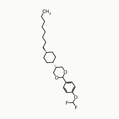 CCCCCCCC[C@H]1CC[C@H](C2COC(c3ccc(OC(F)F)cc3)OC2)CC1